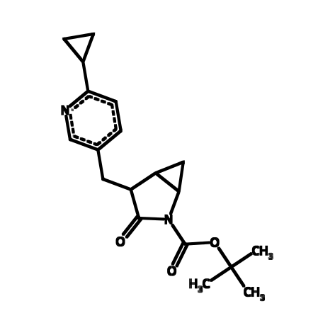 CC(C)(C)OC(=O)N1C(=O)C(Cc2ccc(C3CC3)nc2)C2CC21